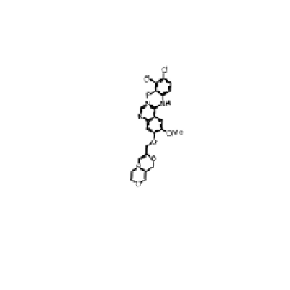 COc1cc2c(Nc3ccc(Cl)c(Cl)c3F)ncnc2cc1OCC1=CN2C=COC=C2CO1